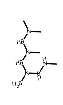 BN(BNC)BN(C)BN(C)C